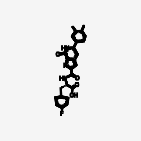 Cc1ccc(-c2cn3cc(C(=O)N[C@@H](Cc4ccc(F)cc4)C(=O)O)nc3c(=O)[nH]2)cc1C